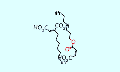 CC(C)CCCCCC/C(=C/C(=O)O)C(=O)O.CC(C)CCCCCCOC(=O)/C=C\C(=O)O